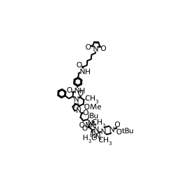 CC[C@H](C)[C@@H]([C@@H](CC(=O)N1CCCC1[C@H](OC)[C@@H](C)C(=O)NC(Cc1ccccc1)C(=O)Nc1ccc(CNC(=O)CCCCCN2C(=O)C=CC2=O)cc1)OC)N(C)C(=O)C(N=C(N(C)C)N1CCN(C(=O)OC(C)(C)C)CC1)C(C)C